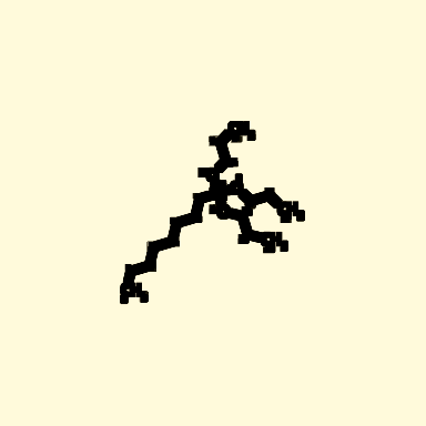 CCCCCCC[CH2][Sn]([O]CCC)([O]CCC)[O]CCC